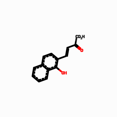 O=C(O)C(=O)/C=C/c1ccc2ccccc2c1O